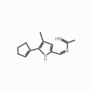 CC(=N)/N=C\c1cc(C)c(C2=CCCC2)[nH]1